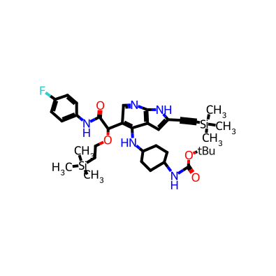 CC(C)(C)OC(=O)NC1CCC(Nc2c(C(OCC[Si](C)(C)C)C(=O)Nc3ccc(F)cc3)cnc3[nH]c(C#C[Si](C)(C)C)cc23)CC1